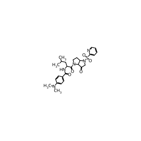 CC(C)CC(NC(=O)c1ccc(N(C)C)cc1)C(=O)N1CCC2C1C(=O)CN2S(=O)(=O)c1ccccn1